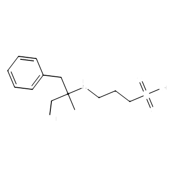 CC(CO)(Cc1ccccc1)NCCCS(=O)(=O)O